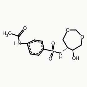 CC(=O)Nc1ccc(S(=O)(=O)N[C@@H]2COCOC[C@H]2O)cc1